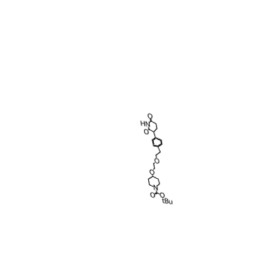 CC(C)(C)OC(=O)N1CCC(OCCOCCc2ccc(C3CCC(=O)NC3=O)cc2)CC1